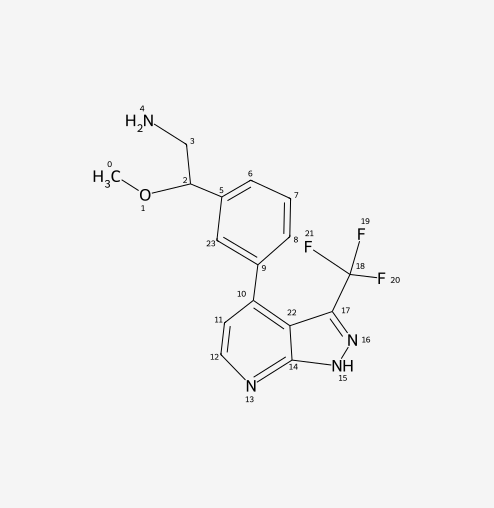 COC(CN)c1cccc(-c2ccnc3[nH]nc(C(F)(F)F)c23)c1